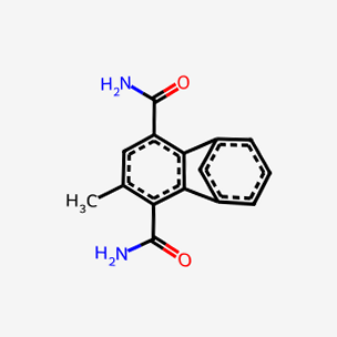 Cc1cc(C(N)=O)c2c(c1C(N)=O)-c1cccc-2c1